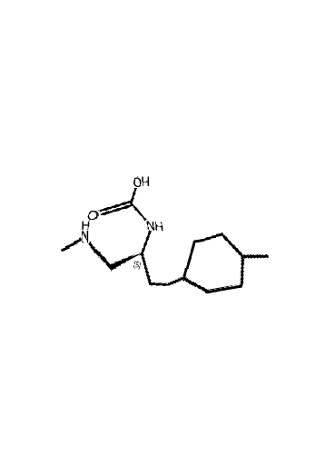 CNC[C@H](CC1CCC(C)CC1)NC(=O)O